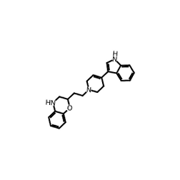 C1=C(c2c[nH]c3ccccc23)CCN(CCC2CNc3ccccc3O2)C1